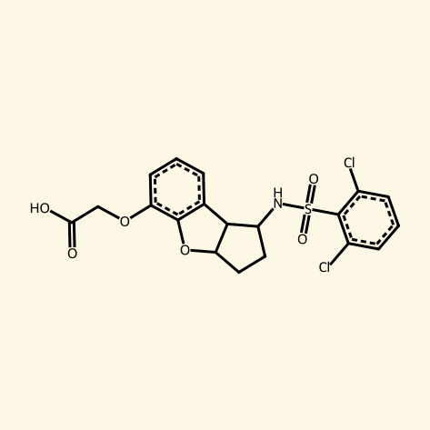 O=C(O)COc1cccc2c1OC1CCC(NS(=O)(=O)c3c(Cl)cccc3Cl)C21